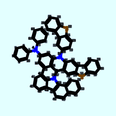 c1ccc(N(c2ccccc2)c2cc3c4c(c2)N(c2ccc5sc6ccccc6c5c2)c2cc5c(cc2B4n2c4c-3cccc4c3ccc4ccccc4c32)sc2ccccc25)cc1